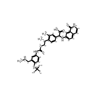 CNCc1cc(NC(=O)OC[C@H](C)c2ccc(C(Nc3ccc4cc[nH]c(=O)c4c3)C(=O)O)cc2C)ccc1OC(F)(F)F